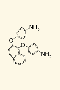 Nc1ccc(Oc2ccc3ccccc3c2Oc2ccc(N)cc2)cc1